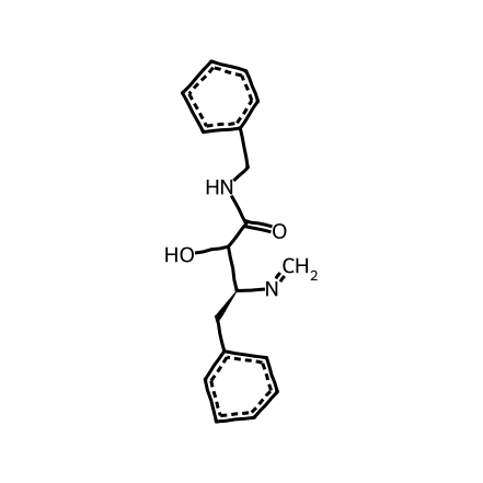 C=N[C@@H](Cc1ccccc1)C(O)C(=O)NCc1ccccc1